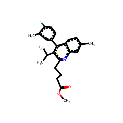 COC(=O)CCCc1nc2cc(C)ccc2c(-c2ccc(F)c(C)c2)c1C(C)C